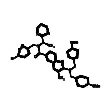 COc1ccc(CN(Cc2ccc(OC)cc2)c2nc3ccc(C(=O)N(Cc4ccc(Br)nn4)[C@H](C)c4ncccn4)cc3cc2C)cc1